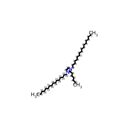 CCCCCCCCCCCCCCCCCC[n+]1ccn(CCCCCCCCCCCCCCCC)c1CCCCCC